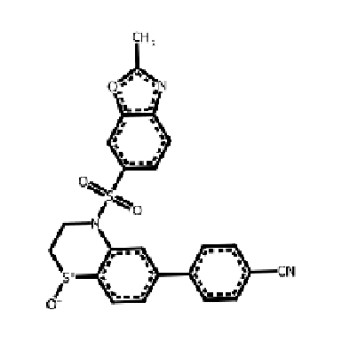 Cc1nc2ccc(S(=O)(=O)N3CC[S+]([O-])c4ccc(-c5ccc(C#N)cc5)cc43)cc2o1